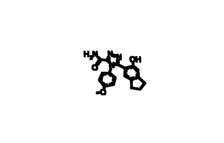 COc1ccc(-n2c(C(N)=O)nnc2-c2cc3c(cc2O)CCC3)cc1